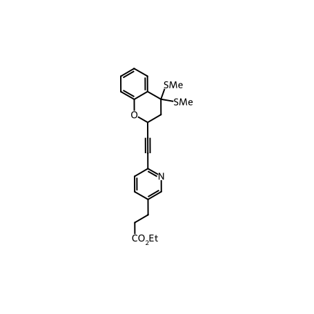 CCOC(=O)CCc1ccc(C#CC2CC(SC)(SC)c3ccccc3O2)nc1